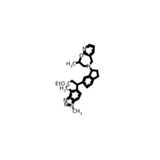 CCOC(=O)CC(c1ccc2c(c1)C(N1Cc3cccnc3OC(C)C1)CC2)c1ccc2c(nnn2C)c1C